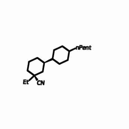 CCCCCC1CCC([C@@H]2CCC[C@@](C#N)(CC)C2)CC1